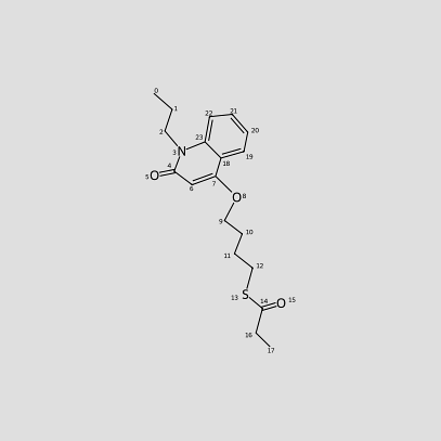 CCCn1c(=O)cc(OCCCCSC(=O)CC)c2ccccc21